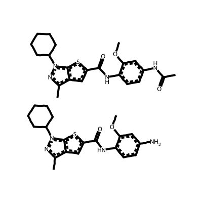 COc1cc(N)ccc1NC(=O)c1cc2c(C)nn(C3CCCCC3)c2s1.COc1cc(NC(C)=O)ccc1NC(=O)c1cc2c(C)nn(C3CCCCC3)c2s1